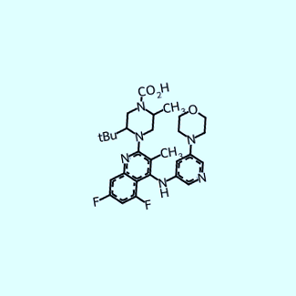 Cc1c(N2CC(C)N(C(=O)O)CC2C(C)(C)C)nc2cc(F)cc(F)c2c1Nc1cncc(N2CCOCC2)c1